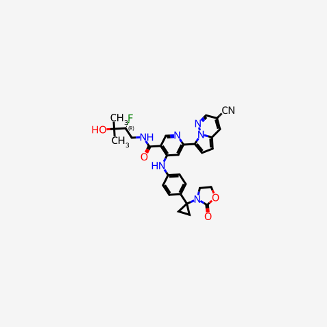 CC(C)(O)[C@H](F)CNC(=O)c1cnc(-c2ccc3cc(C#N)cnn23)cc1Nc1ccc(C2(N3CCOC3=O)CC2)cc1